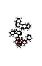 CC1C/C=C(c2cccc3ccccc23)/N=C(c2ccc(-n3c4cc5ccccc5cc4c4c5ccccc5ccc43)c3oc4ccccc4c23)\N=C/1c1cccc(-c2ccccc2)c1